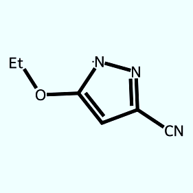 CCOC1=CC(C#N)=N[N]1